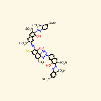 COc1ccc(N=Nc2c(S(=O)(=O)O)cc3cc(S(=O)(=O)O)c(N=Nc4c(S)cc5cc(S(=O)(=O)O)c(N=Nc6ccc7cc(S(=O)(=O)O)c(N=Nc8cc(S(=O)(=O)O)ccc8S(=O)(=O)O)c(O)c7c6)c(N)c5c4O)cc3c2O)c(S(=O)(=O)O)c1